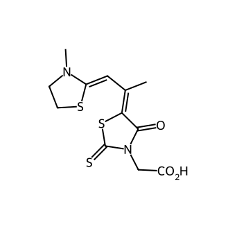 CC(C=C1SCCN1C)=C1SC(=S)N(CC(=O)O)C1=O